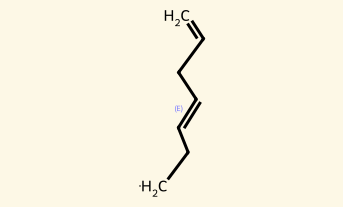 [CH2]C/C=C/CC=C